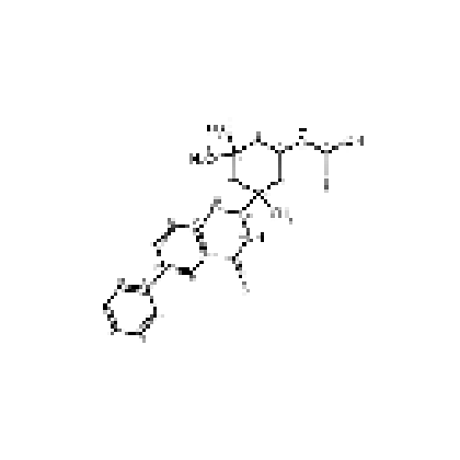 CC1(C)CC(NC(O)=S)CC(C)(C(NC=S)Oc2ccc(-c3ccccc3)cc2)C1